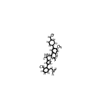 COc1cc2nc(C)nc(N[C@H](C)c3cc(-c4c(Cl)cccc4CN(C)C)cs3)c2cc1C1CCC(C=O)CC1